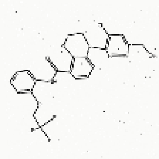 O=C(Nc1ccccc1OCC(F)(F)F)c1cccc2c1OCCN2c1ncc(CO)cc1Cl